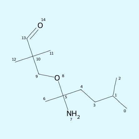 CC(C)CCC(C)(N)OCC(C)(C)C=O